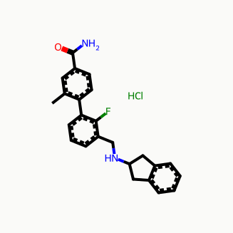 Cc1cc(C(N)=O)ccc1-c1cccc(CNC2Cc3ccccc3C2)c1F.Cl